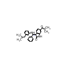 CN(C)Cc1cccc(N/C(=C2/C(=O)Nc3cc(C(=O)N(C)C)ccc32)c2ccccc2)c1